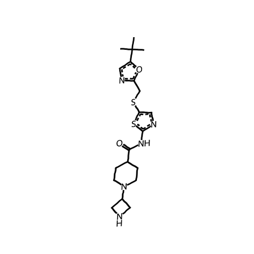 CC(C)(C)c1cnc(CSc2cnc(NC(=O)C3CCN(C4CNC4)CC3)s2)o1